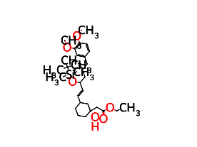 CCOC(=O)CC1(O)CCCC(C=CC(CCCc2ccc(OC)c(OC)c2)O[Si](C)(C)C(C)(C)C)C1